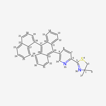 CC1(C)CSC(c2ccc(-c3c4ccccc4c(-c4cccc5ccccc45)c4ccccc34)cn2)=N1